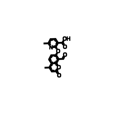 Cc1ccc(C(=O)O)c(Oc2ccc3c(C)cc(=O)oc3c2C=O)n1